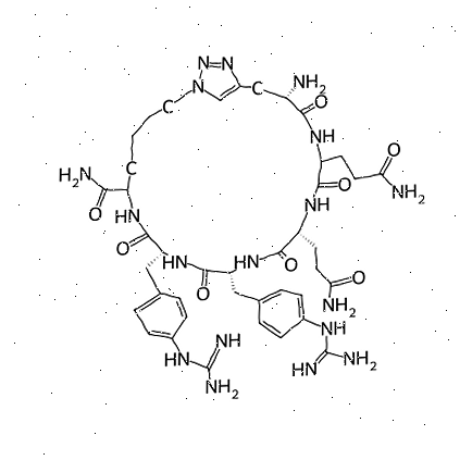 N=C(N)Nc1ccc(C[C@H]2NC(=O)[C@@H](Cc3ccc(NC(=N)N)cc3)NC(=O)[C@@H](CCC(N)=O)NC(=O)C(CCC(N)=O)NC(=O)[C@@H](N)Cc3cn(nn3)CCCCC(C(N)=O)NC2=O)cc1